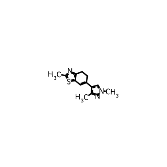 Cc1nc2c(s1)C=C(c1cn(C)nc1C)CC2